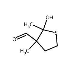 CC1(C=O)CCSC1(C)O